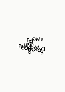 COc1ccc(C(C)NC(=O)c2c3n(c(=O)n2-c2ccc(OC(C)C)cc2)CCN(C(=O)c2ccc(Br)c(Cl)c2)C3)c(F)c1